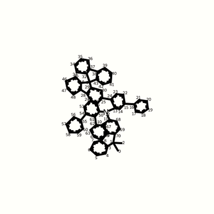 CC1(C)c2ccccc2-c2cc(N(c3cc(-c4ccccc4)ccc3-c3ccc4c(c3)C3(c5ccccc5-c5ccccc53)c3ccccc3-4)c3cccc(-c4ccccc4)c3-c3ccccc3)ccc21